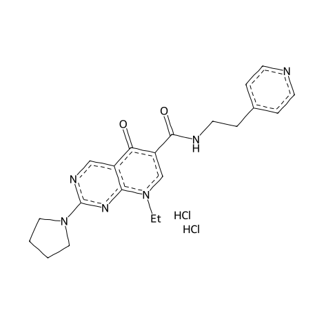 CCn1cc(C(=O)NCCc2ccncc2)c(=O)c2cnc(N3CCCC3)nc21.Cl.Cl